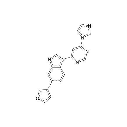 c1cn(-c2cc(-n3cnc4cc(-c5ccoc5)ccc43)ncn2)cn1